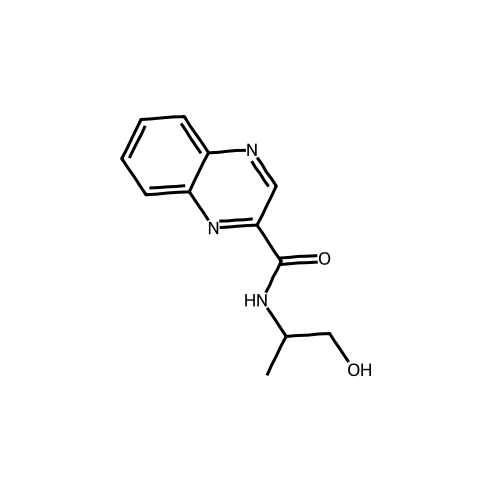 CC(CO)NC(=O)c1cnc2ccccc2n1